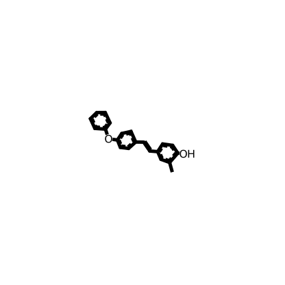 Cc1cc(/C=C/c2ccc(Oc3ccccc3)cc2)ccc1O